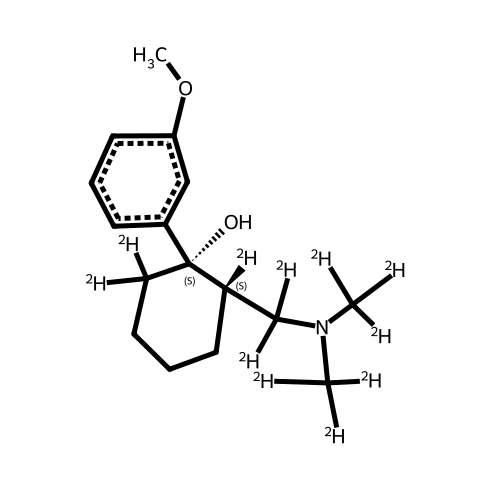 [2H]C([2H])([2H])N(C([2H])([2H])[2H])C([2H])([2H])[C@]1([2H])CCCC([2H])([2H])[C@@]1(O)c1cccc(OC)c1